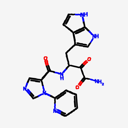 NC(=O)C(=O)C(Cc1c[nH]c2[nH]ccc12)NC(=O)c1cncn1-c1ccccn1